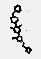 O=C1O[C@@H](COc2ccon2)CN1c1cc(F)c(C2=CCN(Cc3ccccc3)CC2)c(F)c1